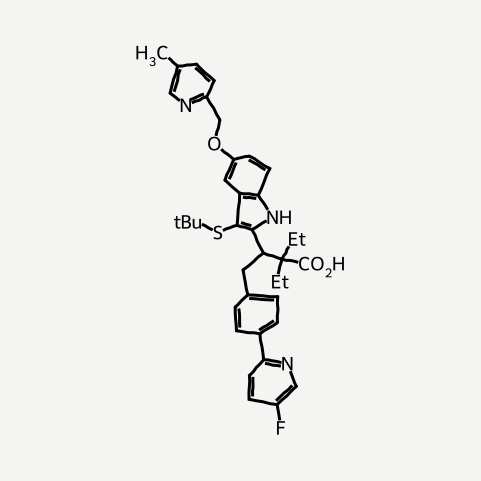 CCC(CC)(C(=O)O)C(Cc1ccc(-c2ccc(F)cn2)cc1)c1[nH]c2ccc(OCc3ccc(C)cn3)cc2c1SC(C)(C)C